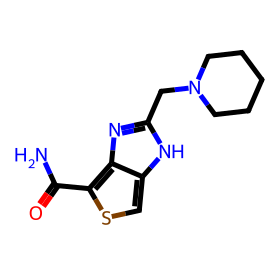 NC(=O)c1scc2[nH]c(CN3CCCCC3)nc12